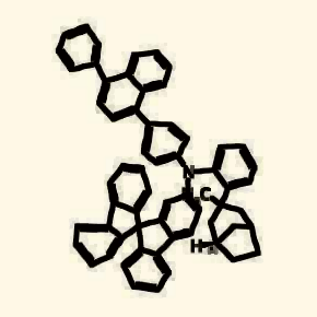 CC1(c2ccccc2N(c2ccc(-c3ccc(-c4ccccc4)c4ccccc34)cc2)c2ccc3c(c2)C2(c4ccccc4-c4ccccc42)c2ccccc2-3)CC2CC[C@@H](C2)C1